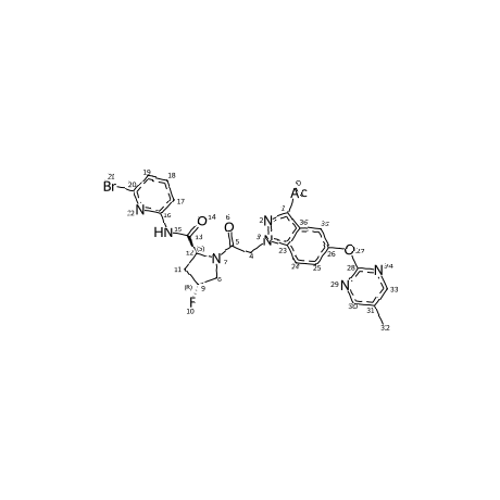 CC(=O)c1nn(CC(=O)N2C[C@H](F)C[C@H]2C(=O)Nc2cccc(Br)n2)c2ccc(Oc3ncc(C)cn3)cc12